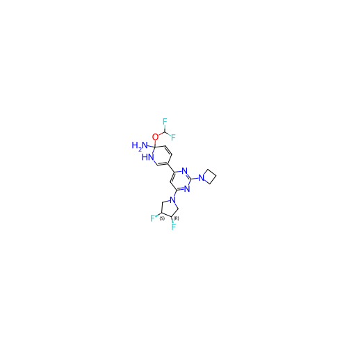 NC1(OC(F)F)C=CC(c2cc(N3C[C@@H](F)[C@@H](F)C3)nc(N3CCC3)n2)=CN1